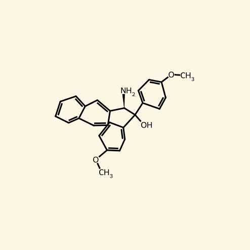 COc1ccc(C(O)(c2ccc(OC)cc2)[C@H](N)c2ccc3ccccc3c2)cc1